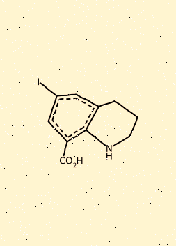 O=C(O)c1cc(I)cc2c1NCCC2